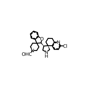 O=CN1CCC2(CC1)c1ccccc1OC2[C@@H]1CNC[C@]12CCCc1nc(Cl)ccc12